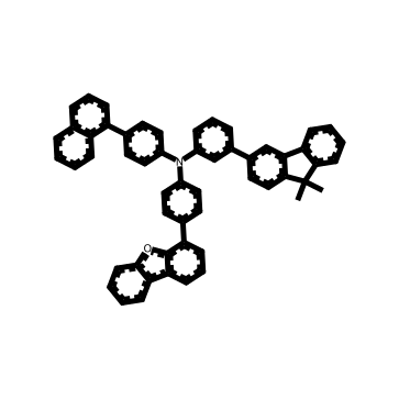 CC1(C)c2ccccc2-c2cc(-c3cccc(N(c4ccc(-c5cccc6ccccc56)cc4)c4ccc(-c5cccc6c5oc5ccccc56)cc4)c3)ccc21